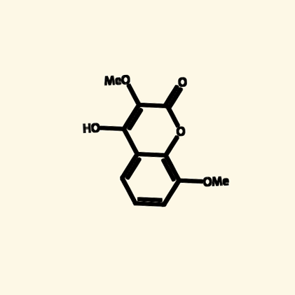 COc1c(O)c2cccc(OC)c2oc1=O